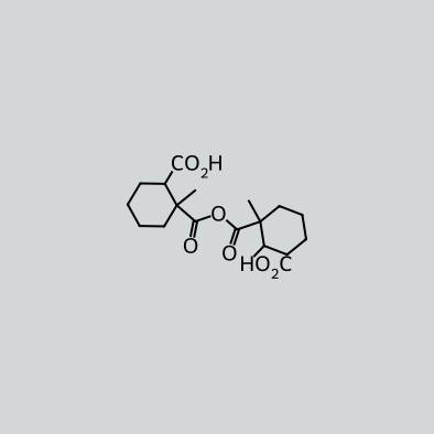 CC1(C(=O)OC(=O)C2(C)CCCCC2C(=O)O)CCCCC1C(=O)O